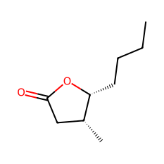 CCCC[C@H]1OC(=O)C[C@H]1C